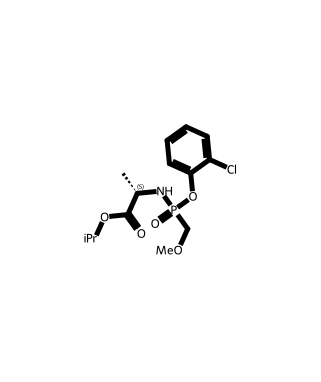 COCP(=O)(N[C@@H](C)C(=O)OC(C)C)Oc1ccccc1Cl